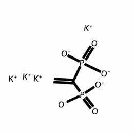 C=C(P(=O)([O-])[O-])P(=O)([O-])[O-].[K+].[K+].[K+].[K+]